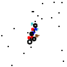 O=C(C[N+]12CCC(CC1)C(OC(=O)C1(c3ccccc3)CCCCCC1)C2)N(F)c1cccc(F)c1.[Br-]